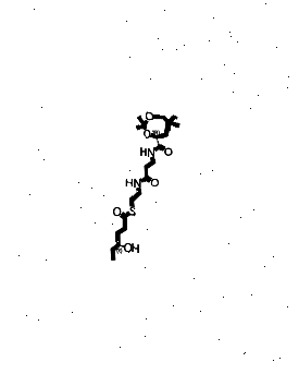 CC[C@@H](O)CCC(=O)SCCNC(=O)CCNC(=O)[C@H]1CC(C)(C)COC(C)(C)O1